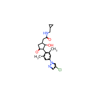 Cc1cc(-n2cc(Cl)cn2)cc(C)c1C1C(=O)CC(CC(=O)NCC2CC2)C1O